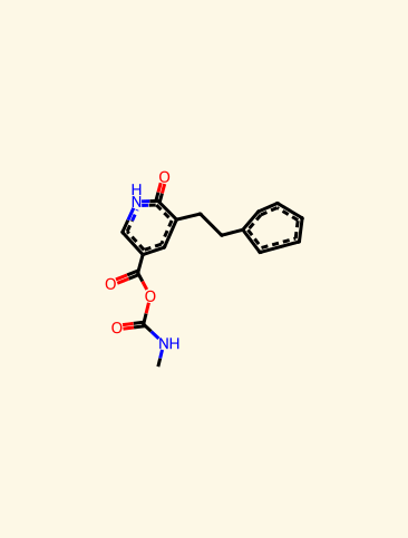 CNC(=O)OC(=O)c1c[nH]c(=O)c(CCc2ccccc2)c1